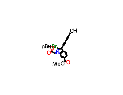 C#CC#CC#Cc1c(Br)n(CC(=O)OCCCC)c2cc(C(=O)OC)ccc12